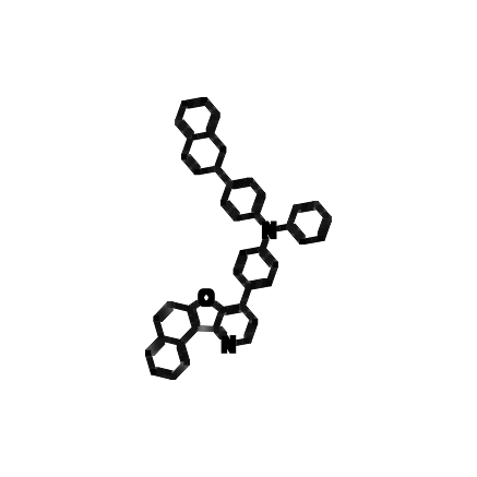 C1=CC(c2ccc(N(c3ccccc3)c3ccc(-c4ccnc5c4oc4ccc6ccccc6c45)cc3)cc2)Cc2ccccc21